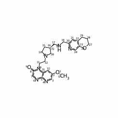 COc1cnc2ncc(=O)n(CCN3CC[C@@H](CNCc4cc5c(cn4)OCCC5)C3)c2c1